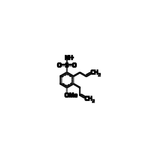 C=CCc1c(OC)ccc(S([NH])(=O)=O)c1CC=C